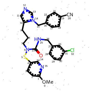 COc1ccc(SN(CCCc2cncn2Cc2ccc(C#N)cc2)C(=O)NCc2cccc(Cl)c2)cn1